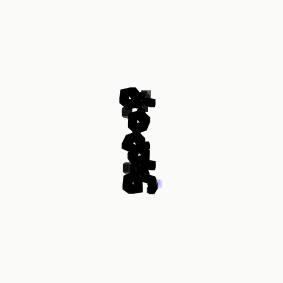 C=C/C(=C\C=C/C)P(=O)(C1=CCC2(C)C=C(c3ccc4c(c3)Oc3cccc5nc(C)n-4c35)C=CC2=C1)c1ccccc1